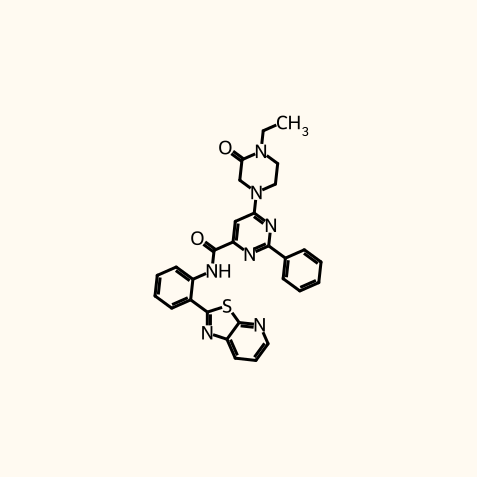 CCN1CCN(c2cc(C(=O)Nc3ccccc3-c3nc4cccnc4s3)nc(-c3ccccc3)n2)CC1=O